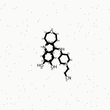 N#CCCN1CCC(Nc2c3c(nc4cc(O)c(O)cc24)CCOCC3)CC1